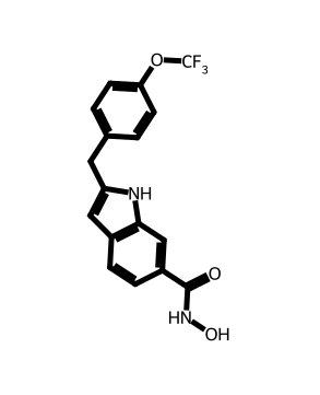 O=C(NO)c1ccc2cc(Cc3ccc(OC(F)(F)F)cc3)[nH]c2c1